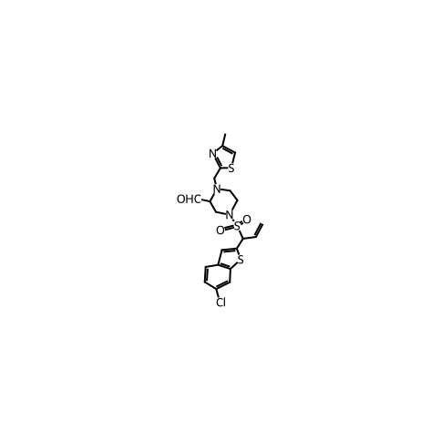 C=CC(c1cc2ccc(Cl)cc2s1)S(=O)(=O)N1CCN(Cc2nc(C)cs2)C(C=O)C1